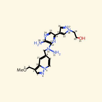 COCc1cnn2ccc(CN(N)c3nc(-c4cnn(CCO)c4)cnc3N)cc12